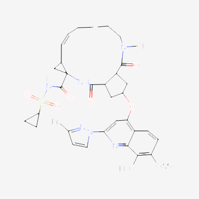 COc1ccc2c(OC3CC4C(=O)NC5(C(=O)NS(=O)(=O)C6CC6)CC5C=CCCCCN(C)C(=O)C4C3)cc(-n3ccc(C(C)C)n3)nc2c1C